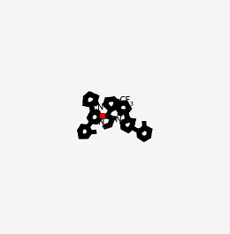 Cc1ccccc1-c1ccc2c(c1)c1ccccc1n2-c1ccncc1-c1cc(C(F)(F)F)ccc1-n1c2ccccc2c2cc(-c3ccccc3C)ccc21